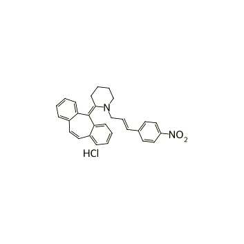 Cl.O=[N+]([O-])c1ccc(C=CCN2CCCCC2=C2c3ccccc3C=Cc3ccccc32)cc1